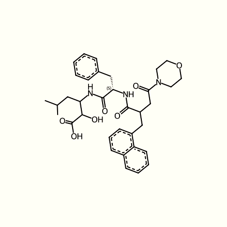 CC(C)CC(NC(=O)[C@H](Cc1ccccc1)NC(=O)C(CC(=O)N1CCOCC1)Cc1cccc2ccccc12)C(O)C(=O)O